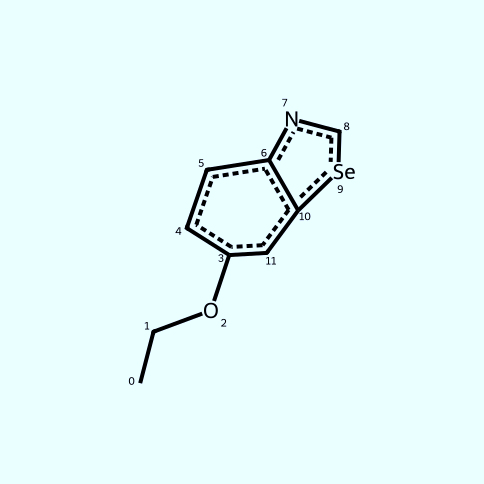 CCOc1ccc2nc[se]c2c1